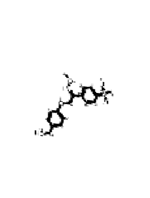 CON=C(COc1ccc(CO)cc1)c1ccc(S(C)(=O)=O)cc1